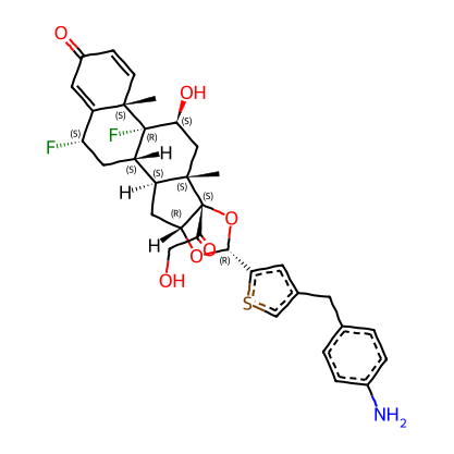 C[C@]12C=CC(=O)C=C1[C@@H](F)C[C@H]1[C@@H]3C[C@H]4O[C@@H](c5cc(Cc6ccc(N)cc6)cs5)O[C@@]4(C(=O)CO)[C@@]3(C)C[C@H](O)[C@@]12F